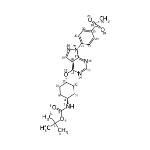 CC(C)(C)OC(=O)N[C@H]1CC[C@H](Oc2ncnc3c2cnn3-c2ccc(S(C)(=O)=O)cc2)CC1